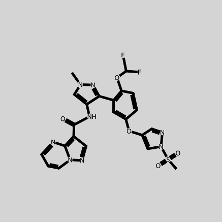 Cn1cc(NC(=O)c2cnn3cccnc23)c(-c2cc(Oc3cnn(S(C)(=O)=O)c3)ccc2OC(F)F)n1